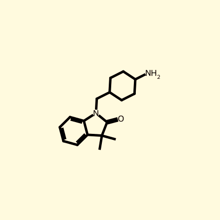 CC1(C)C(=O)N(CC2CCC(N)CC2)c2ccccc21